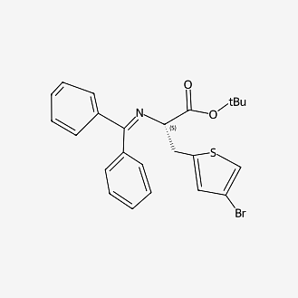 CC(C)(C)OC(=O)[C@H](Cc1cc(Br)cs1)N=C(c1ccccc1)c1ccccc1